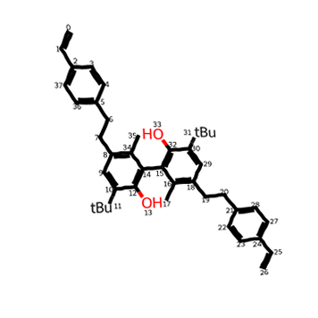 C=Cc1ccc(CCc2cc(C(C)(C)C)c(O)c(-c3c(C)c(CCc4ccc(C=C)cc4)cc(C(C)(C)C)c3O)c2C)cc1